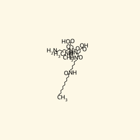 CCCCCCCCCCCC(=O)NCCCCCCNC(=O)C(CCC(=O)O)NC(=O)C(CCC(=O)O)NC(=O)C(CCCCN)NC(C)C